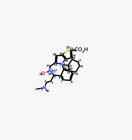 CN(C)CCC1c2ccccc2[N+]2(C3CCCCC3)C(=Cc3sc(C(=O)O)cc32)C[NH+]1[O-]